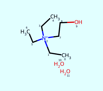 CC[N+](CC)(CC)CCO.O.O